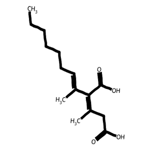 CCCCCC/C=C(C)/C(C(=O)O)=C(\C)CC(=O)O